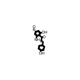 Nc1cc(N=O)cc(O)c1C(=O)/C=C/c1ccc(O)cc1